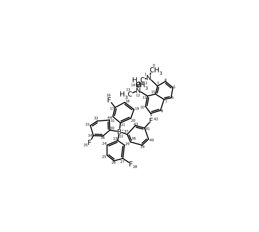 CN(C)c1cccc2cccc([NH+](C)C)c12.Fc1cccc([B-](c2cccc(F)c2)(c2cccc(F)c2)c2cccc(F)c2)c1